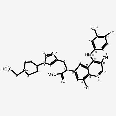 COC(=O)N(Cc1cn(C2CCN(CC(=O)O)CC2)nn1)c1cc(Cl)c2ncc(C#N)c(Nc3ccc(F)c(Cl)c3)c2c1